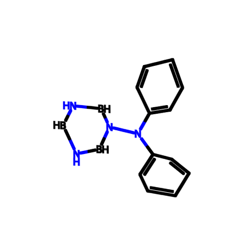 B1NBN(N(c2ccccc2)c2ccccc2)BN1